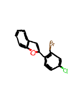 Clc1ccc(-c2cc3ccccc3o2)c(Br)c1